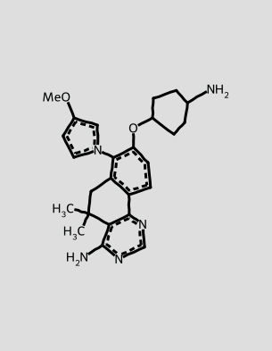 COc1ccn(-c2c(OC3CCC(N)CC3)ccc3c2CC(C)(C)c2c(N)ncnc2-3)c1